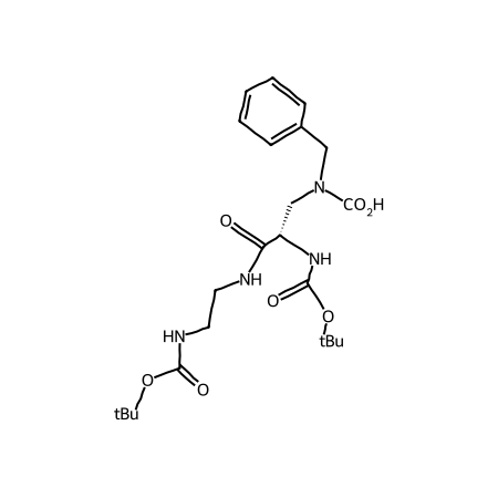 CC(C)(C)OC(=O)NCCNC(=O)[C@H](CN(Cc1ccccc1)C(=O)O)NC(=O)OC(C)(C)C